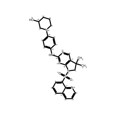 CC1(C)CN(S(=O)(=O)c2cccc3cccnc23)c2nc(Nc3ccc(N4CCCC(O)C4)cc3)ncc21